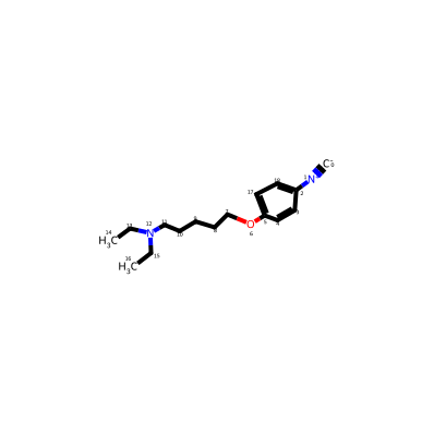 [C-]#[N+]c1ccc(OCCCCCN(CC)CC)cc1